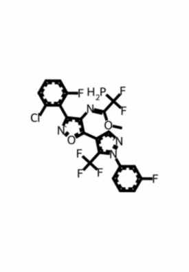 CO/C(=N\c1c(-c2c(F)cccc2Cl)noc1-c1cnn(-c2cccc(F)c2)c1C(F)(F)F)C(F)(F)P